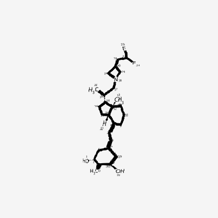 C=C1[C@H](O)CC(=CC=C2CCC[C@]3(C)[C@@H](C(C)CN4CC(CC(F)F)C4)CC[C@@H]23)C[C@H]1O